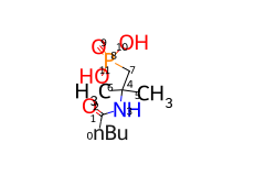 CCCCC(=O)NC(C)(C)CP(=O)(O)O